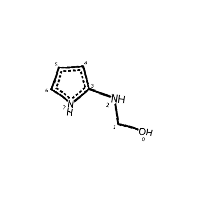 OCNc1ccc[nH]1